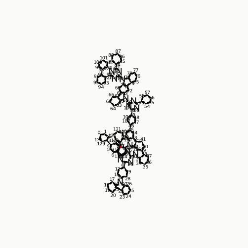 c1ccc(-c2ccc(-c3nc(-c4ccc(-n5c6ccccc6c6ccccc65)cc4)nc(-n4c5ccccc5c5ccc6c7cc(-c8ccc(-c9nc(-c%10ccccc%10)nc(-n%10c%11ccccc%11c%11cc%12c(cc%11%10)c%10ccccc%10n%12-c%10nc(-c%11ccccc%11)nc(-c%11ccccc%11-c%11ccccc%11)n%10)n9)cc8)ccc7n(-c7ccccc7-c7ccccc7)c6c54)n3)cc2)cc1